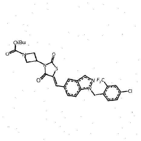 CC(C)COC(=O)N1CC(N2C(=O)SC(=Cc3ccc4c(cnn4Cc4ccc(Cl)cc4C(F)(F)F)c3)C2=O)C1